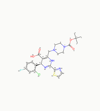 CC(C)(C)OC(=O)N1CCN(CC2=C(C(=O)O)[C@H](c3ccc(F)cc3Cl)N=C(c3nccs3)N2)CC1